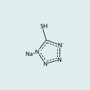 Sc1nnn[n-]1.[Na+]